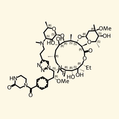 CC[C@H]1OC(=O)[C@H](C)[C@@H](O[C@H]2C[C@@](C)(OC)[C@@H](O)[C@H](C)O2)[C@H](C)[C@@H](O[C@@H]2O[C@H](C)C[C@H](N(C)CCc3cn([C@H](CF)[C@H](OC)c4ccc(C(=O)N5CCNC(=O)C5)cc4)nn3)[C@H]2O)[C@](C)(O)C[C@@H](C)CN(C)[C@H](C)[C@@H](O)[C@]1(C)O